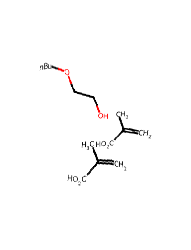 C=C(C)C(=O)O.C=C(C)C(=O)O.CCCCOCCO